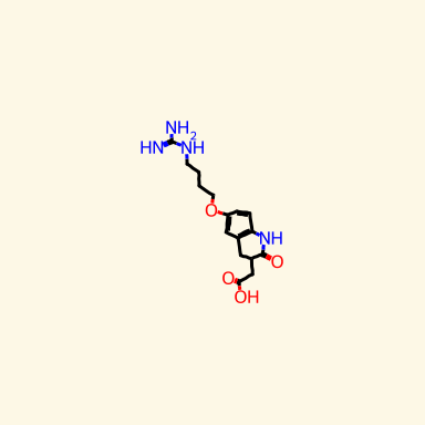 N=C(N)NCCCCOc1ccc2c(c1)CC(CC(=O)O)C(=O)N2